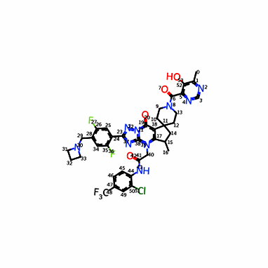 Cc1ncnc(C(=O)N2CCC3(CC2)CC(C)c2c3c(=O)n3nc(-c4cc(F)c(CN5CCC5)cc4F)nc3n2CC(=O)Nc2ccc(C(F)(F)F)cc2Cl)c1O